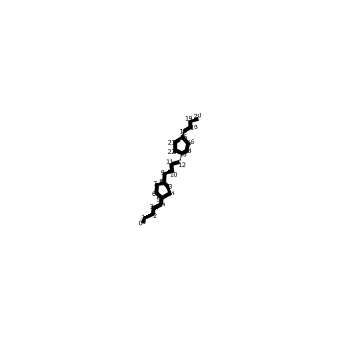 CCCC=CC1CCC(CCCC[C@H]2CC[C@H](CCCC)CC2)CC1